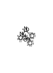 Cc1oncc1-c1nc2ccccc2n1CC(=O)N(C1CCCCC1)C1CCCCC1